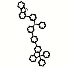 c1ccc(N(c2cccc(-c3ccc(-c4ccc5c(c4)-c4ccccc4C5(c4ccccc4)c4ccccc4)cc3)c2)c2cccc(-c3cccc4c3oc3ccccc34)c2)cc1